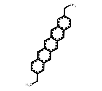 CCc1ccc2cc3cc4cc5cc(CC)ccc5cc4cc3cc2c1